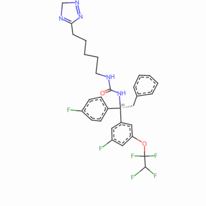 O=C(NCCCCCC1=NCN=N1)N[C@](Cc1ccccc1)(c1ccc(F)cc1)c1cc(F)cc(OC(F)(F)C(F)F)c1